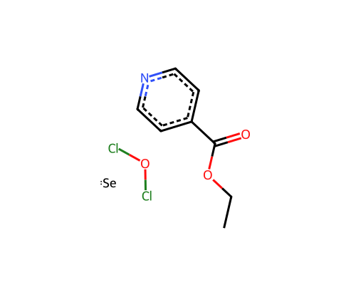 CCOC(=O)c1ccncc1.ClOCl.[Se]